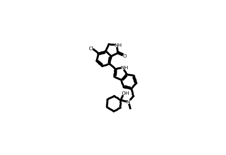 CN(Cc1ccc2[nH]c(-c3ccc(Cl)c4c3C(=O)NC4)cc2c1)C1(O)CCCCC1